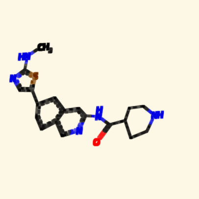 CNc1ncc(-c2ccc3cnc(NC(=O)C4CCNCC4)cc3c2)s1